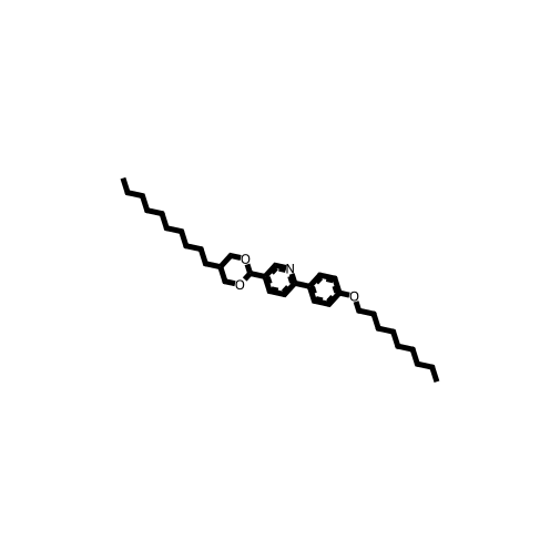 CCCCCCCCCCC1COC(c2ccc(-c3ccc(OCCCCCCCCC)cc3)nc2)OC1